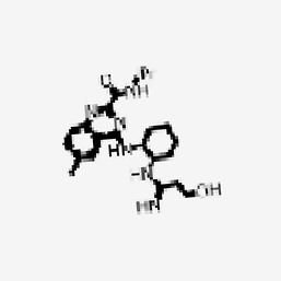 Cc1ccc2nc(C(=O)NC(C)C)nc(N[C@H]3CCCC[C@H]3NC(=N)CCO)c2c1